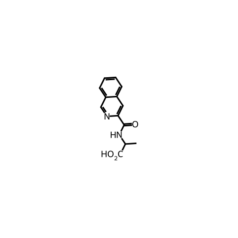 CC(NC(=O)c1cc2ccccc2cn1)C(=O)O